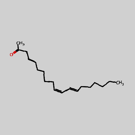 CCCCCC/C=C/C=C\CCCCCCCC(C)=O